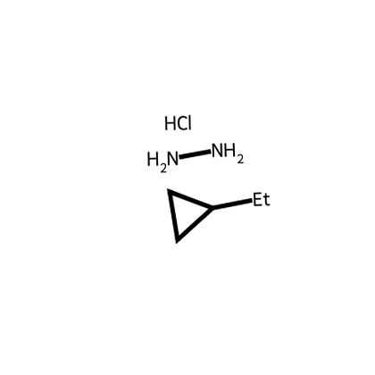 CCC1CC1.Cl.NN